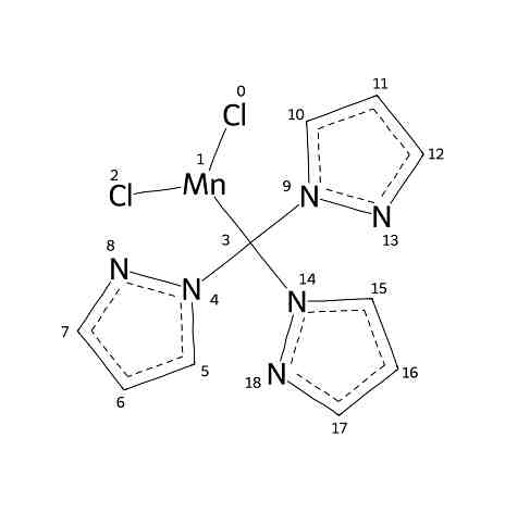 [Cl][Mn]([Cl])[C](n1cccn1)(n1cccn1)n1cccn1